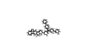 CC1(C)c2cc(-c3cccc(N(c4ccc(-c5ccccc5)cc4)c4ccc(-c5ccccc5)cc4)c3)ccc2-c2cc3oc4ccccc4c3cc21